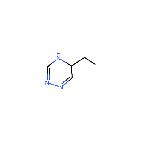 CCC1C=NN=CN1